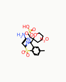 CCC1(C23N=C(C=C(N)N2OS(=O)(=O)O)S(=O)(=O)c2ccc(C)cc23)CCCCO1.O